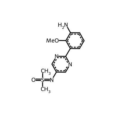 COc1c(N)cccc1-c1ncc(N=S(C)(C)=O)cn1